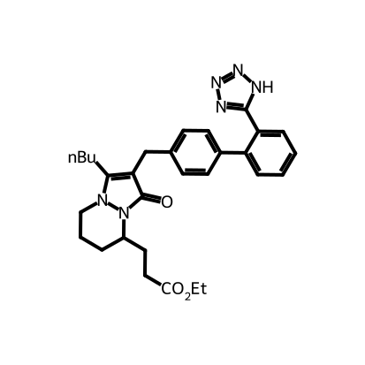 CCCCc1c(Cc2ccc(-c3ccccc3-c3nnn[nH]3)cc2)c(=O)n2n1CCCC2CCC(=O)OCC